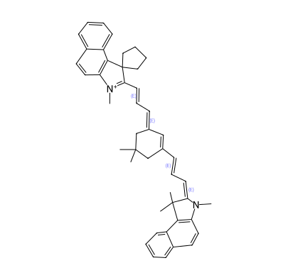 CN1/C(=C/C=C/C2=CC(=C/C=C/C3=[N+](C)c4ccc5ccccc5c4C34CCCC4)/CC(C)(C)C2)C(C)(C)c2c1ccc1ccccc21